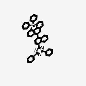 c1ccc(-c2nc(-c3ccccc3)nc(-c3ccc(-c4cc5cccc6c5c5c(cccc45)[Si]6(c4ccccc4)c4ccccc4)c4ccccc34)n2)cc1